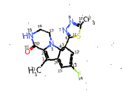 Cc1c2n(c3c(-c4nnc(C(F)(F)F)s4)cc(F)cc13)CCNC2=O